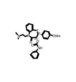 COc1ccc([C@H]2Sc3ccccc3N(CCN(C)C)C(=O)[C@H]2OC(=O)Nc2ccccc2)cc1